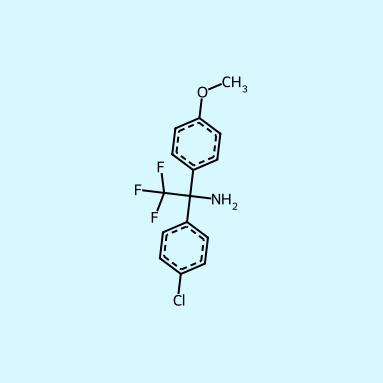 COc1ccc(C(N)(c2ccc(Cl)cc2)C(F)(F)F)cc1